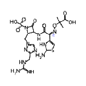 CC(C)(O/N=C(\C(=O)NC1C(=O)N(S(=O)(=O)O)C1Cn1cnc(CNC(=N)N)n1)C1=CSC(N)N1)C(=O)O